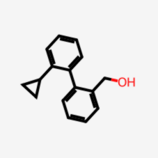 OCc1ccccc1-c1ccccc1C1CC1